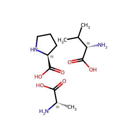 CC(C)[C@H](N)C(=O)O.C[C@H](N)C(=O)O.O=C(O)[C@@H]1CCCN1